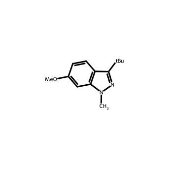 COc1ccc2c(C(C)(C)C)nn(C)c2c1